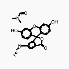 CN(C)C=O.O=C1OC2(c3ccc(O)cc3Oc3cc(O)ccc32)c2cc(N=C=S)ccc21